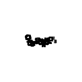 Cc1cc2nc(CCCCC(=O)C[C@](C)(O)c3ccccc3)n(C(C)(C)C)c2nc1C(F)(F)F